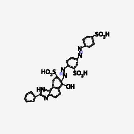 O=S(=O)(O)c1ccc(/N=N/c2ccc(/N=N/c3c(S(=O)(=O)O)cc4c(ccc5nc(-c6ccccc6)[nH]c54)c3O)c(S(=O)(=O)O)c2)cc1